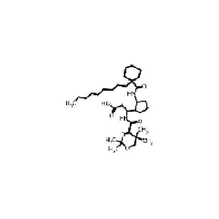 CCCCCCCCCC1(C(=O)NC2CCCC2C(CC(=O)O)NC(=O)C2OC(C)(C)OCC2(C)C)CCCCC1